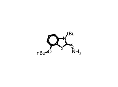 CCCCOc1cccc2c1SC(SN)N2C(C)(C)C